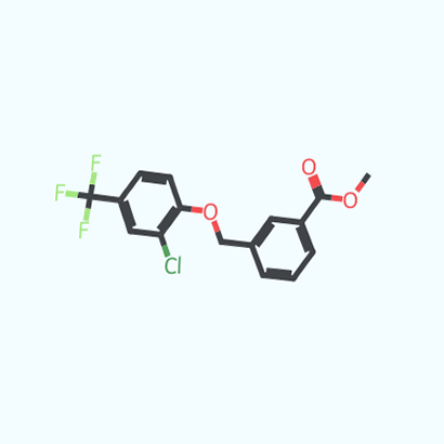 COC(=O)c1cccc(COc2ccc(C(F)(F)F)cc2Cl)c1